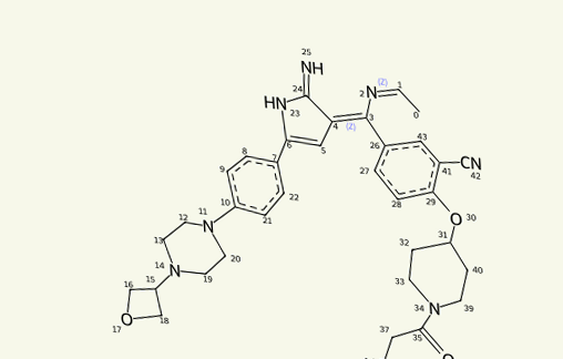 C/C=N\C(=C1\C=C(c2ccc(N3CCN(C4COC4)CC3)cc2)NC1=N)c1ccc(OC2CCN(C(=O)CO)CC2)c(C#N)c1